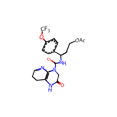 CC(=O)OCCC(NC(=O)N1CC(=O)NC2=C1N=CCC2)c1ccc(OC(F)(F)F)cc1